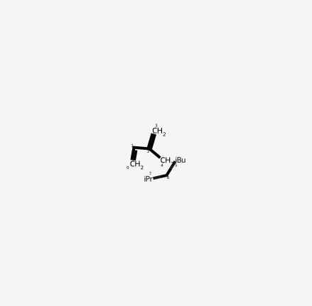 C=CC(=C)C.CCC(C)CC(C)C